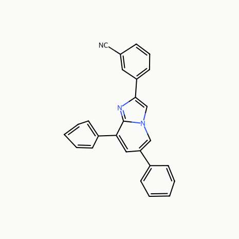 N#Cc1cccc(-c2cn3cc(-c4ccccc4)cc(-c4ccccc4)c3n2)c1